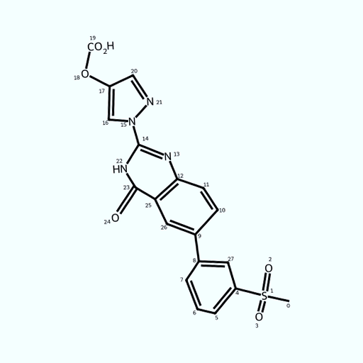 CS(=O)(=O)c1cccc(-c2ccc3nc(-n4cc(OC(=O)O)cn4)[nH]c(=O)c3c2)c1